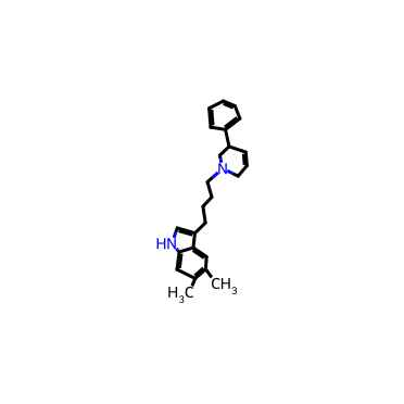 Cc1cc2[nH]cc(CCCCN3CC=CC(c4ccccc4)C3)c2cc1C